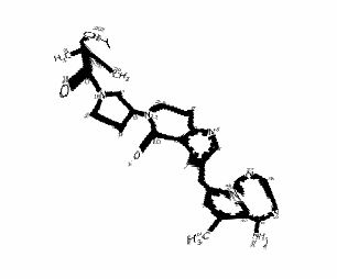 Cc1cc(-c2cnc3c(c2)C(=O)N(C2CCN(C(=O)C(C)(C)O)C2)CC3)n2ncnc(N)c12